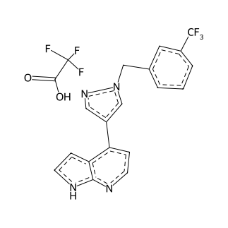 FC(F)(F)c1cccc(Cn2cc(-c3ccnc4[nH]ccc34)cn2)c1.O=C(O)C(F)(F)F